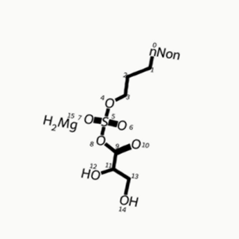 CCCCCCCCCCCCOS(=O)(=O)OC(=O)C(O)CO.[MgH2]